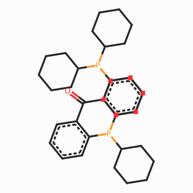 O=C(c1ccccc1P(C1CCCCC1)C1CCCCC1)c1ccccc1P(C1CCCCC1)C1CCCCC1